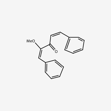 CO/C(=C/c1ccccc1)C(=O)/C=C\c1ccccc1